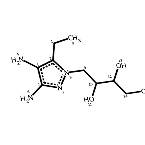 CCc1c(N)c(N)nn1CC(O)C(O)CO